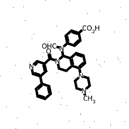 CN1CCN(c2cccc3c2CCN(C(=O)c2cncc(-c4ccccc4)c2)C3N(C=O)c2ccc(C(=O)O)cc2)CC1